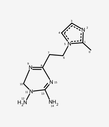 Cc1nccn1CCC1=NCN(N)C(N)=N1